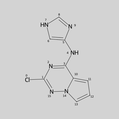 Clc1nc(Nc2c[nH]cn2)c2cccn2n1